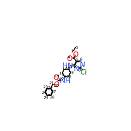 CCOC(=O)c1cnc(Cl)nc1N[C@H]1CC[C@@H](NC(=O)OCc2ccccc2)CC1